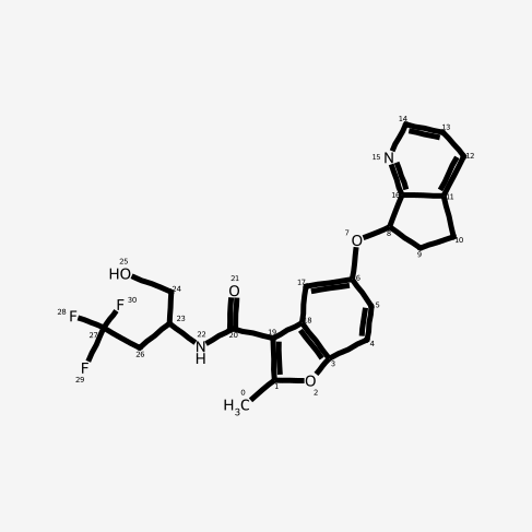 Cc1oc2ccc(OC3CCc4cccnc43)cc2c1C(=O)NC(CO)CC(F)(F)F